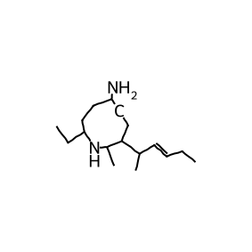 CC/C=C/C(C)C1CCC(N)CCC(CC)NC1C